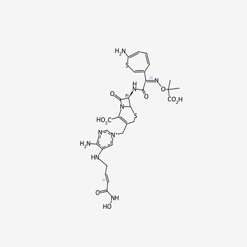 CC(C)(O/N=C(\C(=O)N[C@@H]1C(=O)N2C(C(=O)O)=C(C[n+]3cnc(N)c(NC/C=C/C(=O)NO)c3)CSC12)C1=CSC(N)=CC=C1)C(=O)O